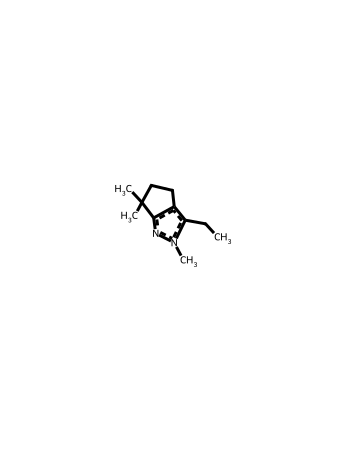 CCc1c2c(nn1C)C(C)(C)CC2